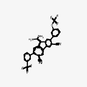 N#Cc1cc2c(cc1-c1cccc(OC(F)(F)F)c1)C(=C(N)N)c1cc(-c3cccc(C(F)(F)F)c3)c(C#N)cc1-2